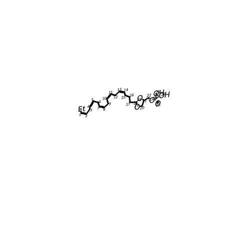 CC/C=C\C/C=C\C/C=C\C/C=C\C/C=C\CCCC1OCC(COP(=O)(O)O)O1